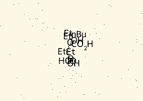 CCCCC(CC)(CC)CCC(O)(OCCCCC(CC)(CC)CCCOP(=O)(O)O)C(=O)O